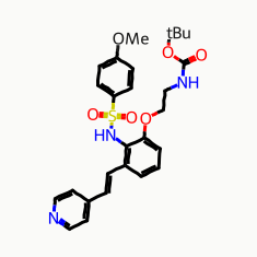 COc1ccc(S(=O)(=O)Nc2c(C=Cc3ccncc3)cccc2OCCNC(=O)OC(C)(C)C)cc1